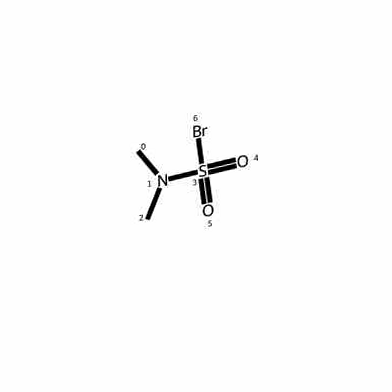 CN(C)S(=O)(=O)Br